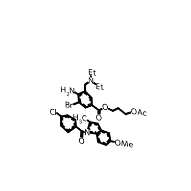 CCN(CC)Cc1cc(C(=O)OCCCOC(C)=O)cc(Br)c1N.COc1ccc2c(c1)cc(C)n2C(=O)c1ccc(Cl)cc1